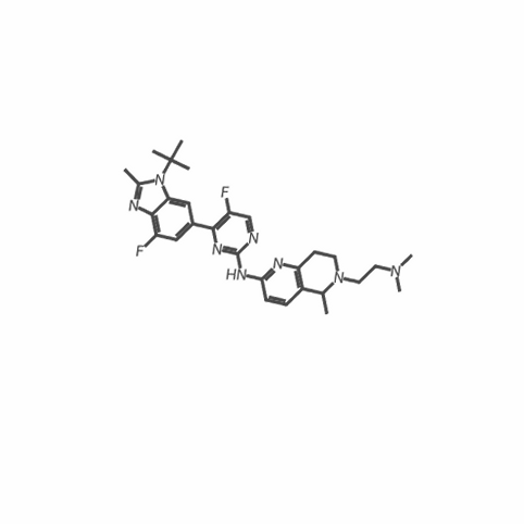 Cc1nc2c(F)cc(-c3nc(Nc4ccc5c(n4)CCN(CCN(C)C)C5C)ncc3F)cc2n1C(C)(C)C